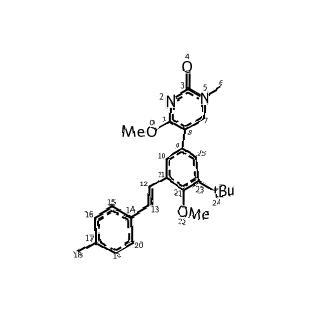 COc1nc(=O)n(C)cc1-c1cc(/C=C/c2ccc(C)cc2)c(OC)c(C(C)(C)C)c1